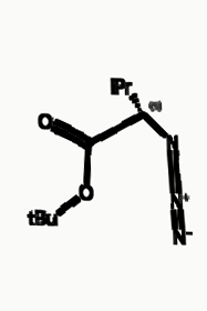 CC(C)[C@H](N=[N+]=[N-])C(=O)OC(C)(C)C